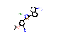 CC(C)Oc1ccc(-c2nnc(-c3cccc4c3CCC[C@H]4N)s2)cc1C#N.Cl